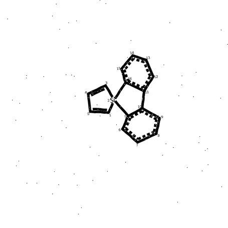 C1=C[Si]2(C=C1)c1ccccc1-c1ccccc12